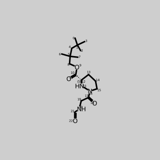 CC(C)(C)CC(C)(C)COC(=O)[C@@H]1CCCN(C(=O)CNC=O)N1